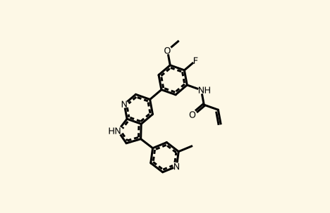 C=CC(=O)Nc1cc(-c2cnc3[nH]cc(-c4ccnc(C)c4)c3c2)cc(OC)c1F